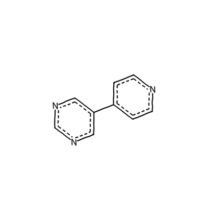 c1cc(-c2cncnc2)ccn1